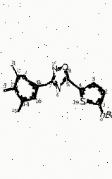 CCCCc1ccc(-c2nc(-c3cc(C)c(C)c(C)c3)no2)s1